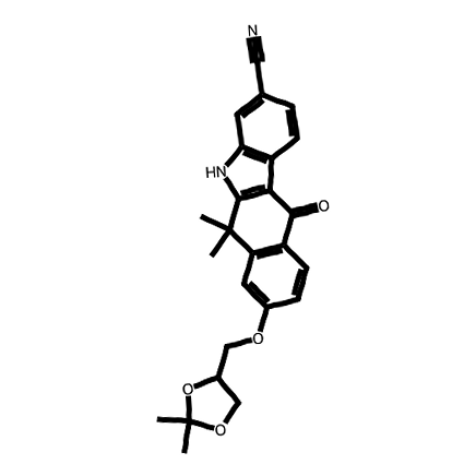 CC1(C)OCC(COc2ccc3c(c2)C(C)(C)c2[nH]c4cc(C#N)ccc4c2C3=O)O1